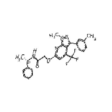 Cc1cccc(-c2nn(C)c3nc(OCC(=O)N[C@@H](C)c4ccccc4)cc(C(F)(F)F)c23)c1